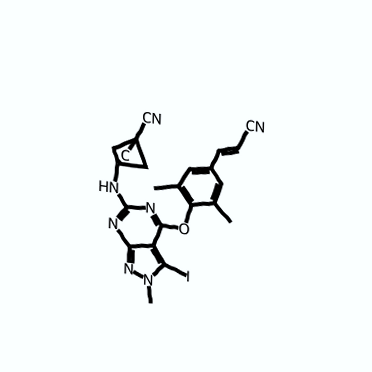 Cc1cc(/C=C/C#N)cc(C)c1Oc1nc(NC23CC(C#N)(C2)C3)nc2nn(C)c(I)c12